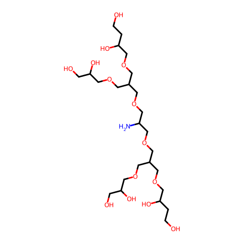 NC(COCC(COCC(O)CO)COCC(O)CCO)COCC(COCC(O)CO)COCC(O)CCO